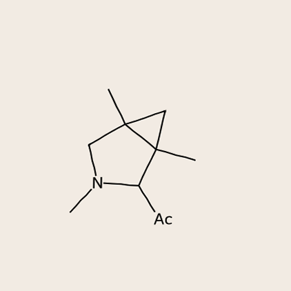 CC(=O)C1N(C)CC2(C)CC12C